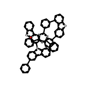 c1ccc(-c2ccc3c(c2)c2ccccc2n3-c2cc3oc4ccccc4c3cc2-c2cccc(-c3ccc4oc5cccc(-c6cccc(-c7nc(-c8ccccc8)nc(-c8ccccc8)n7)c6)c5c4c3)c2)cc1